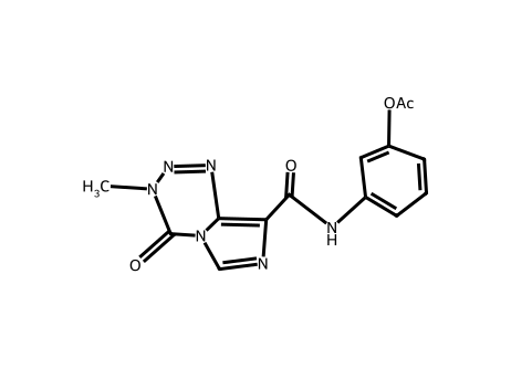 CC(=O)Oc1cccc(NC(=O)c2ncn3c(=O)n(C)nnc23)c1